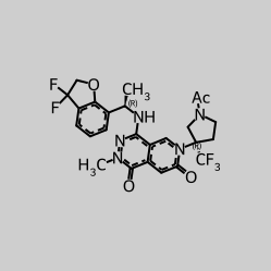 CC(=O)N1CC[C@](n2cc3c(N[C@H](C)c4cccc5c4OCC5(F)F)nn(C)c(=O)c3cc2=O)(C(F)(F)F)C1